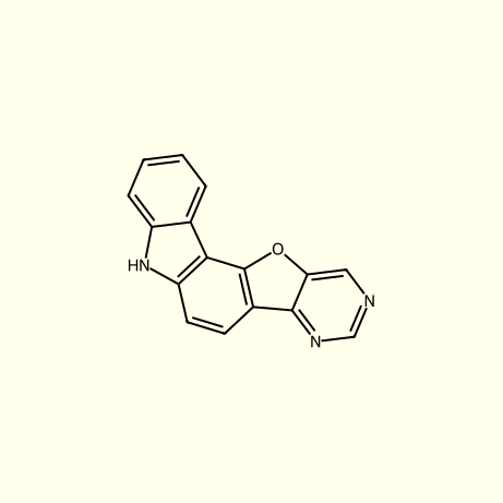 c1ccc2c(c1)[nH]c1ccc3c4ncncc4oc3c12